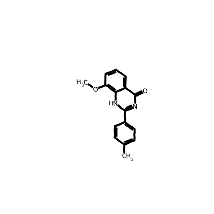 COc1cccc2c(=O)nc(-c3ccc(C)cc3)[nH]c12